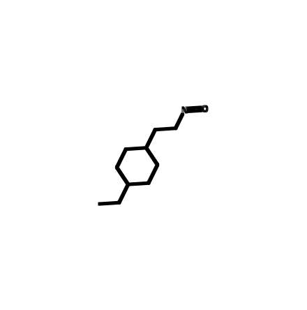 CCC1CCC(CCN=O)CC1